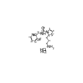 Cl.Cl.NCCCC1SC=CN1C(=O)NCc1ncccc1F